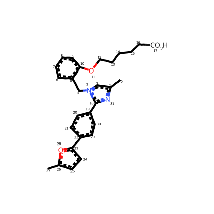 Cc1cn(Cc2ccccc2OCCCCCC(=O)O)c(-c2ccc(-c3ccc(C)o3)cc2)n1